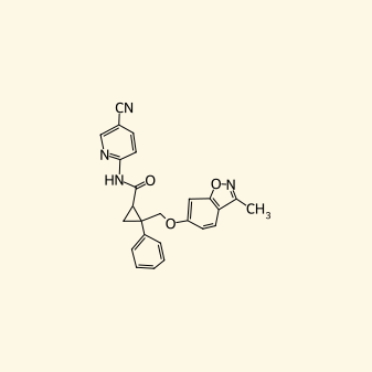 Cc1noc2cc(OCC3(c4ccccc4)CC3C(=O)Nc3ccc(C#N)cn3)ccc12